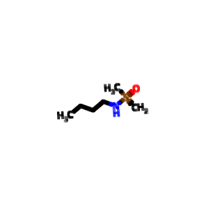 C=S(C)(=O)NCCCC